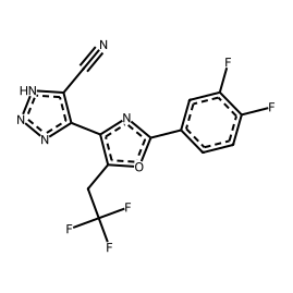 N#Cc1[nH]nnc1-c1nc(-c2ccc(F)c(F)c2)oc1CC(F)(F)F